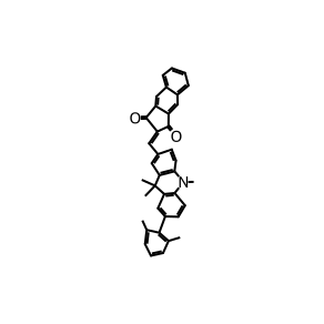 Cc1cccc(C)c1-c1ccc2c(c1)C(C)(C)c1cc(C=C3C(=O)c4cc5ccccc5cc4C3=O)ccc1N2C